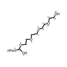 CCCCCC(O)OCCOCCOCCOCCO